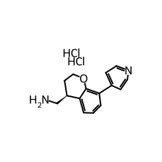 Cl.Cl.NC[C@H]1CCOc2c(-c3ccncc3)cccc21